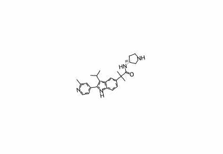 Cc1cc(-c2[nH]c3ccc(C(C)(C)C(=O)N[C@@H]4CCNC4)cc3c2C(C)C)ccn1